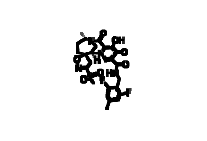 Cc1cc(F)c(CNC(=O)c2cn3c(c(O)c2=O)C(=O)N2C[C@@H]3[C@]3(CC[C@@H]2C)CC(S(C)(=O)=O)=NO3)c(F)c1